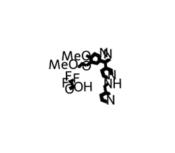 COCCOc1cc2c(-c3ccc(NCc4cccnc4)nc3)cnnc2cc1OC.O=C(O)C(F)(F)F